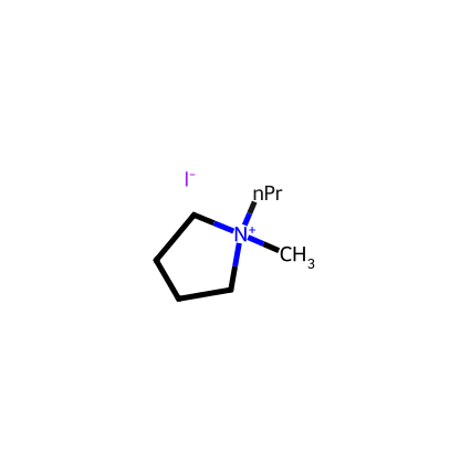 CCC[N+]1(C)CCCC1.[I-]